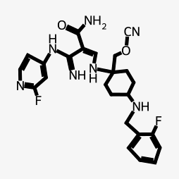 N#COCC1(N/C=C(\C(=N)Nc2ccnc(F)c2)C(N)=O)CCC(NCc2ccccc2F)CC1